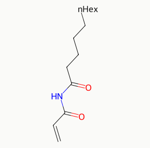 C=CC(=O)NC(=O)CCCCCCCCCC